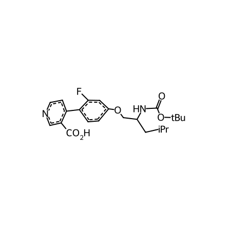 CC(C)CC(COc1ccc(-c2ccncc2C(=O)O)c(F)c1)NC(=O)OC(C)(C)C